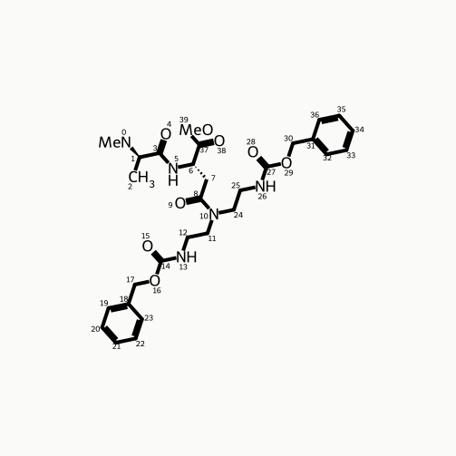 CN[C@H](C)C(=O)N[C@@H](CC(=O)N(CCNC(=O)OCc1ccccc1)CCNC(=O)OCc1ccccc1)C(=O)OC